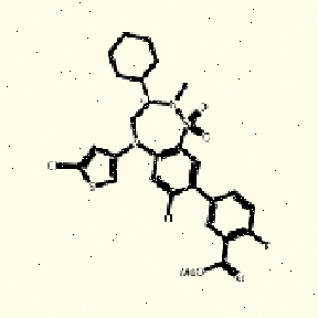 COC(=O)c1cc(-c2cc3c(cc2Cl)N(c2csc(Cl)c2)C[C@@H](C2CCCCC2)N(C)S3(=O)=O)ccc1F